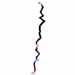 CC(C)CCCCCCCCCCOCCCNCCO